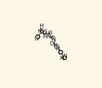 O=C(N[C@@H]1CCN(CC(=O)N2CCN(c3ccc(-c4ncccn4)cc3)CC2)C1)c1cc2c(-c3ccncc3)n[nH]c2s1